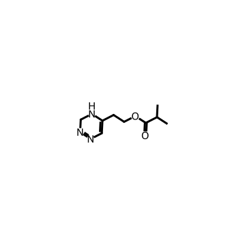 CC(C)C(=O)OCCC1=CN=NCN1